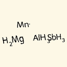 [AlH3].[MgH2].[Mn].[SbH3]